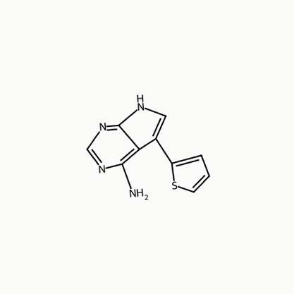 Nc1ncnc2[nH]cc(-c3cccs3)c12